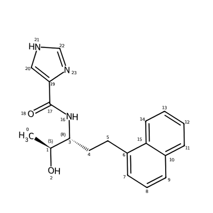 C[C@H](O)[C@@H](CCc1cccc2ccccc12)NC(=O)c1c[nH]cn1